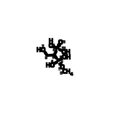 C.O=P(O)(O)C(CO)P(=O)(O)O